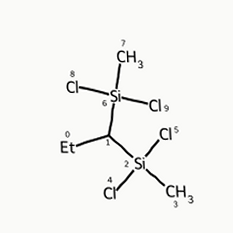 CCC([Si](C)(Cl)Cl)[Si](C)(Cl)Cl